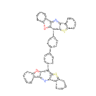 c1ccc2c(c1)oc1c(-c3ccc(-c4ccc(-c5c6oc7ccccc7c6nc6c5sc5ccccc56)cc4)cc3)c3sc4ccccc4c3nc12